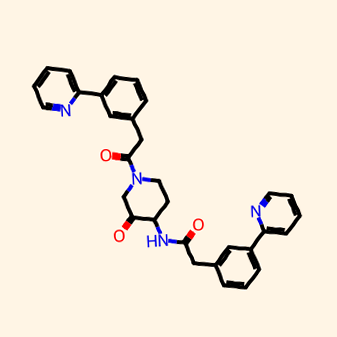 O=C(Cc1cccc(-c2ccccn2)c1)NC1CCN(C(=O)Cc2cccc(-c3ccccn3)c2)CC1=O